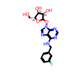 OC[C@H]1OC(On2cnc3c(NCc4cccc(F)c4)ncnc32)[C@H](O)[C@@H]1O